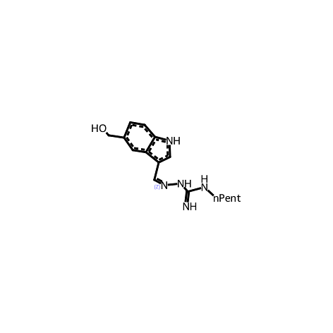 CCCCCNC(=N)N/N=C\c1c[nH]c2ccc(CO)cc12